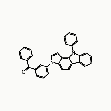 O=C(c1ccccc1)c1cccc(-n2ccc3c2ccc2c4ccccc4n(-c4ccccc4)c23)c1